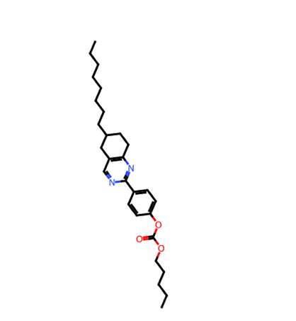 CCCCCCCCC1CCc2nc(-c3ccc(OC(=O)OCCCCC)cc3)ncc2C1